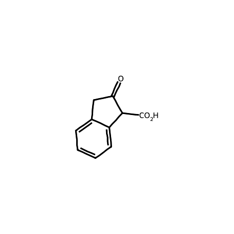 O=C(O)C1C(=O)Cc2ccccc21